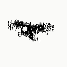 CC[C@H]1CCC[C@H](O[C@H]2CC[C@H](N(C)C)C(C)O2)[C@@H](C)C(=O)C2=C[C@H]3[C@@H]4C[C@H](O[C@@H]5OC(C)[C@H](OC)C(OC)C5OC)C[C@H]4[C@@H](O)[C@H](Nc4ccc(C)cc4)[C@H]3[C@@H]2CC(=O)O1